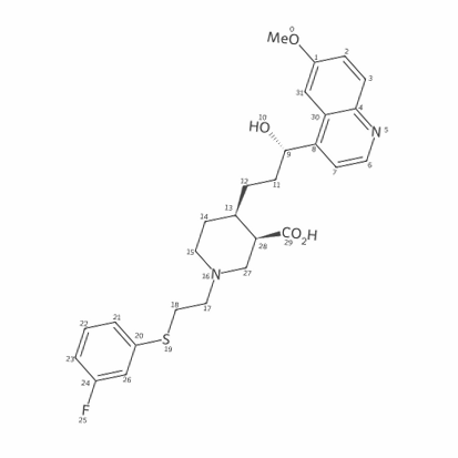 COc1ccc2nccc([C@@H](O)CC[C@@H]3CCN(CCSc4cccc(F)c4)C[C@@H]3C(=O)O)c2c1